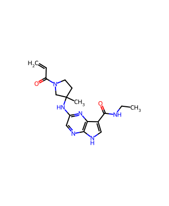 C=CC(=O)N1CCC(C)(Nc2cnc3[nH]cc(C(=O)NCC)c3n2)C1